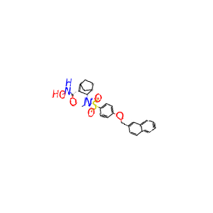 CN([C@H]1C2CCC(C2)[C@H]1C(=O)NO)S(=O)(=O)c1ccc(OCc2ccc3ccccc3c2)cc1